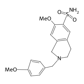 COc1ccc(CN2CCc3cc(S(N)(=O)=O)c(OC)cc3C2)cc1